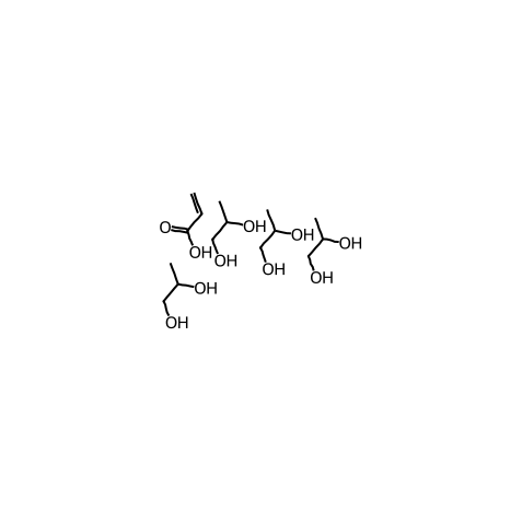 C=CC(=O)O.CC(O)CO.CC(O)CO.CC(O)CO.CC(O)CO